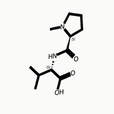 CC(C)[C@H](NC(=O)[C@@H]1CCCN1C)C(=O)O